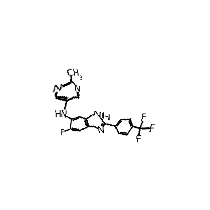 Cc1ncc(Nc2cc3[nH]c(-c4ccc(C(F)(F)F)cc4)nc3cc2F)cn1